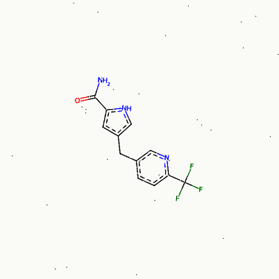 NC(=O)c1cc(Cc2ccc(C(F)(F)F)nc2)c[nH]1